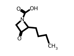 CCCCC1C(=O)CN1C(=O)O